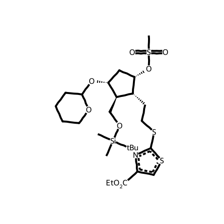 CCOC(=O)c1csc(SCC[C@@H]2[C@@H](CO[Si](C)(C)C(C)(C)C)[C@H](OC3CCCCO3)C[C@@H]2OS(C)(=O)=O)n1